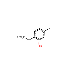 CCOC(=O)Cc1ccc(C)cc1O